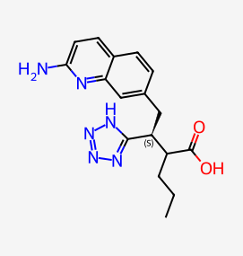 CCCC(C(=O)O)[C@H](Cc1ccc2ccc(N)nc2c1)c1nnn[nH]1